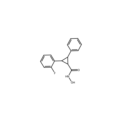 O=C(NO)C1C(c2ccccc2)C1c1ccccc1F